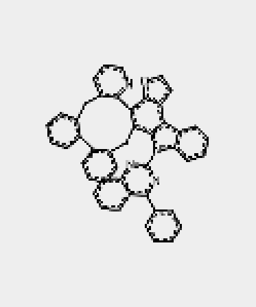 c1ccc(-c2nc(-n3c4ccccc4c4c5ccoc5c5c(c43)Cc3ccccc3-c3ccccc3Cc3cccnc3-5)nc3ccccc23)cc1